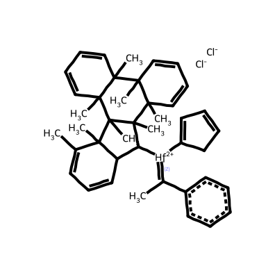 CC1=CC=CC2[CH](/[Hf+2]([C]3=CC=CC3)=[C](\C)c3ccccc3)C3(C)C4(C)C=CC=CC4(C)C4(C)C=CC=CC4(C)C3(C)C12C.[Cl-].[Cl-]